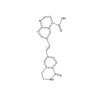 O=C1NCCc2cc(/C=C/c3ccc4nccc(C(=O)O)c4c3)ccc21